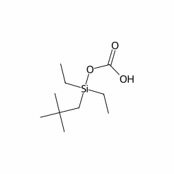 CC[Si](CC)(CC(C)(C)C)OC(=O)O